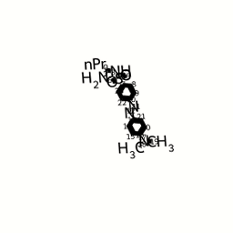 CCCC(N)NS(=O)(=O)c1ccc(N=Nc2ccc(N(C)C)cc2)cc1